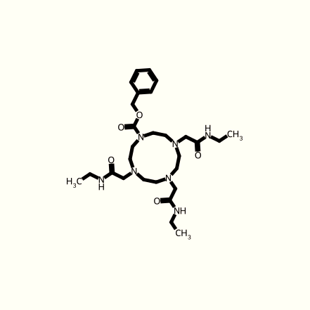 CCNC(=O)CN1CCN(CC(=O)NCC)CCN(C(=O)OCc2ccccc2)CCN(CC(=O)NCC)CC1